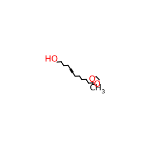 CC1(CCCCCC#CCCCCO)OCCO1